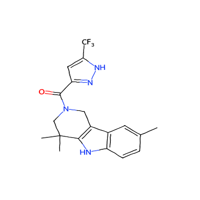 Cc1ccc2[nH]c3c(c2c1)CN(C(=O)c1cc(C(F)(F)F)[nH]n1)CC3(C)C